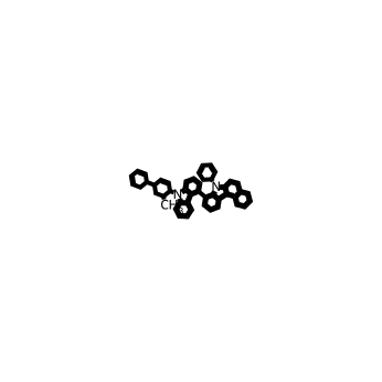 CC1CC(C2C=CC=CC2)C=CC1n1c2ccccc2c2c(-c3cccc4c5c6ccccc6ccc5n(C5C=CC=CC5)c34)cccc21